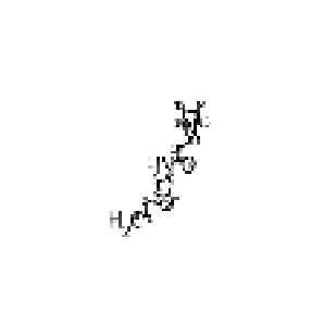 C=CC[S+]([O-])CCNC(=O)CCn1cccc1